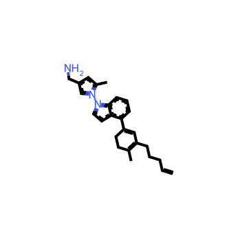 C=CCCCC1=C(C)CCC(c2cccc3c2ccn3-n2cc(CN)cc2C)=C1